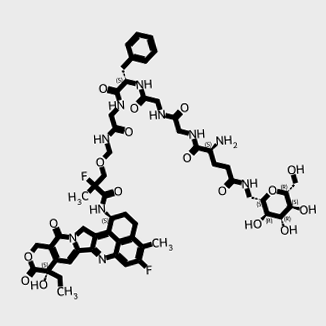 CC[C@@]1(O)C(=O)OCc2c1cc1n(c2=O)Cc2c-1nc1cc(F)c(C)c3c1c2[C@@H](NC(=O)C(C)(F)COCNC(=O)CNC(=O)[C@H](Cc1ccccc1)NC(=O)CNC(=O)CNC(=O)[C@@H](N)CCC(=O)NC[C@@H]1O[C@H](CO)[C@@H](O)[C@H](O)[C@H]1O)CC3